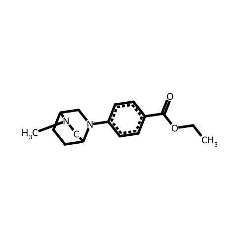 CCOC(=O)c1ccc(N2CC3CCC2CN3C)cc1